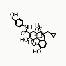 O=C(Nc1ccc(CO)cc1)C1=C(O)[C@@H]2Oc3c(O)ccc4c3[C@@]23CCN(CC2CC2)[C@H](C4)[C@]3(O)C1